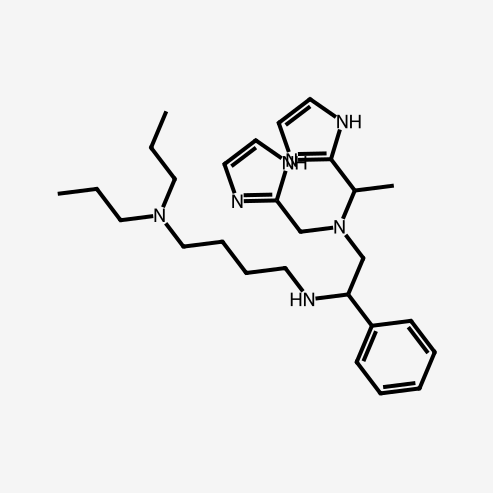 CCCN(CCC)CCCCNC(CN(Cc1ncc[nH]1)C(C)c1ncc[nH]1)c1ccccc1